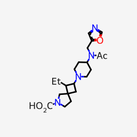 CCC1C(N2CCC(N(Cc3cnco3)C(C)=O)CC2)CC12CCN(C(=O)O)C2